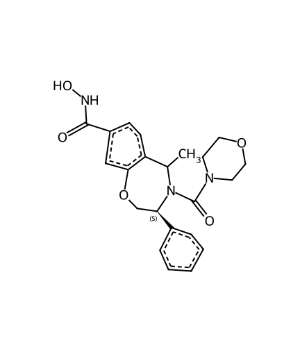 CC1c2ccc(C(=O)NO)cc2OC[C@H](c2ccccc2)N1C(=O)N1CCOCC1